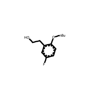 CCCCOc1ccc(F)cc1CCO